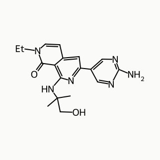 CCn1ccc2cc(-c3cnc(N)nc3)nc(NC(C)(C)CO)c2c1=O